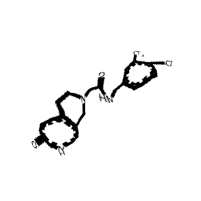 O=C(Nc1ccc(Cl)c(C(F)(F)F)c1)N1CCc2cc(=O)[nH]cc2C1